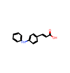 O=C(O)C=Cc1ccc(Nc2ccccc2)cc1